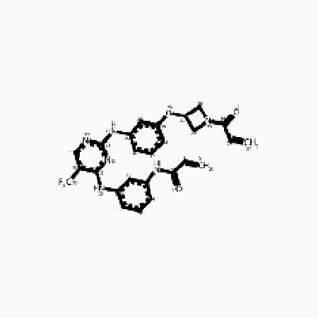 C=CC(=O)Nc1cccc(Nc2nc(Nc3cccc(OC4CN(C(=O)C=C)C4)c3)ncc2C(F)(F)F)c1